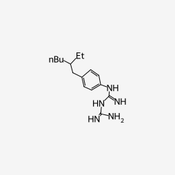 CCCCC(CC)Cc1ccc(NC(=N)NC(=N)N)cc1